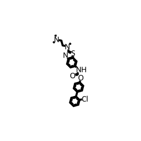 CN(C)CCN(C)c1nc2ccc(NC(=O)Oc3ccc(-c4ccccc4Cl)cc3)cc2s1